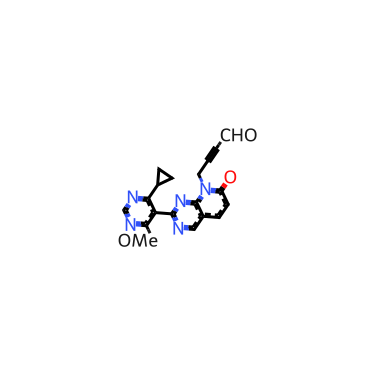 COc1ncnc(C2CC2)c1-c1ncc2ccc(=O)n(CC#CC=O)c2n1